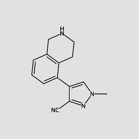 Cn1cc(-c2cccc3c2CCNC3)c(C#N)n1